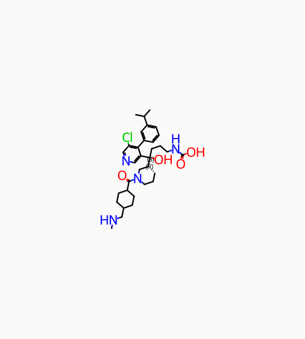 CNCC1CCC(C(=O)N2CCC[C@@H]([C@@](O)(CCCNC(=O)O)c3cncc(Cl)c3-c3cccc(C(C)C)c3)C2)CC1